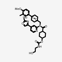 COc1ccc(C23CCC(CN(C(=O)C4CCC(OC(=O)NCCO)CC4)c4cc(-c5coc(C(C)(C)C)n5)ccn4)(CC2)CC3)cc1C